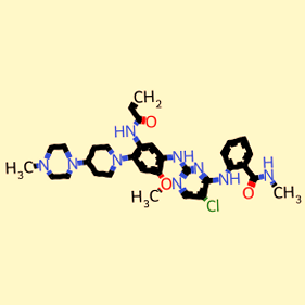 C=CC(=O)Nc1cc(Nc2ncc(Cl)c(Nc3ccccc3C(=O)NC)n2)c(OC)cc1N1CCC(N2CCN(C)CC2)CC1